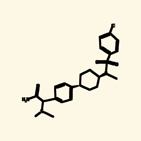 CN(C)C(C(N)=O)c1ccc([C@H]2CC[C@H](N(C)S(=O)(=O)c3ccc(Cl)cc3)CC2)cc1